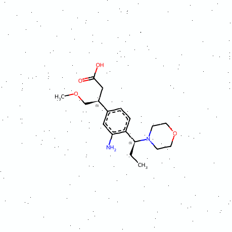 CC[C@@H](c1ccc([C@@H](COC)CC(=O)O)cc1N)N1CCOCC1